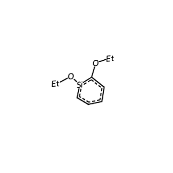 CCOc1cccc[si]1OCC